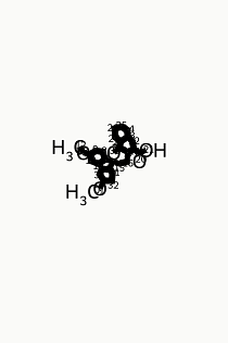 COc1ccc(C2(c3ccc(OC)cc3)C=Cc3c(C(=O)O)cc4ccccc4c3O2)cc1